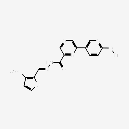 CCOc1ccc(-c2cncc(C(=O)N/N=C/c3occc3OC)n2)cn1